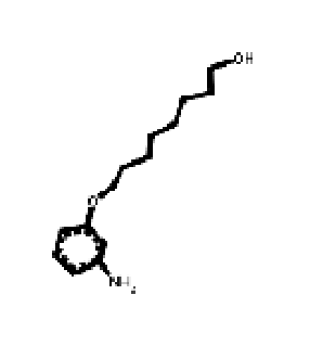 Nc1cccc(OCCCCCCCCO)c1